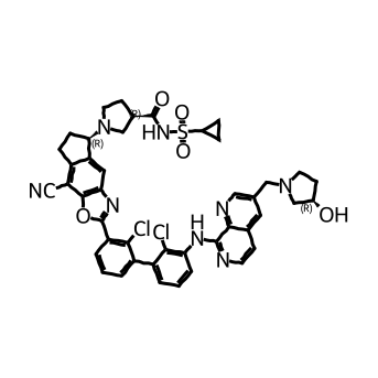 N#Cc1c2c(cc3nc(-c4cccc(-c5cccc(Nc6nccc7cc(CN8CC[C@@H](O)C8)cnc67)c5Cl)c4Cl)oc13)[C@H](N1CC[C@@H](C(=O)NS(=O)(=O)C3CC3)C1)CC2